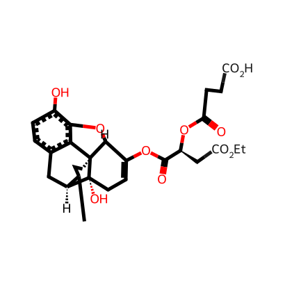 CCOC(=O)C[C@H](OC(=O)CCC(=O)O)C(=O)OC1=CC[C@@]2(O)[C@H]3Cc4ccc(O)c5c4[C@@]2(CCC3C)[C@H]1O5